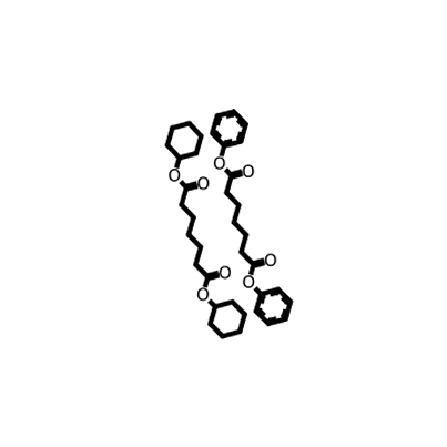 O=C(CCCCCC(=O)OC1CCCCC1)OC1CCCCC1.O=C(CCCCCC(=O)Oc1ccccc1)Oc1ccccc1